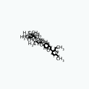 CCc1ccc(-c2cc3ccc(OC(C)(S)CC(C)(C)OC(=O)C(C)(CC(C)(C)C)C(C)(C)C)cc3o2)c(CC)n1